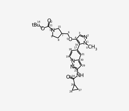 Cn1ncc(OCC2CCN(C(=O)OC(C)(C)C)C2)c1-c1ccn2nc(NC(=O)C3CC3)cc2c1